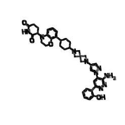 Nc1nnc(-c2ccccc2O)cc1-n1cc(N2CC3(C2)CN(C2CCC(c4cccc5c4OCCN5C4CCC(=O)NC4=O)CC2)C3)cn1